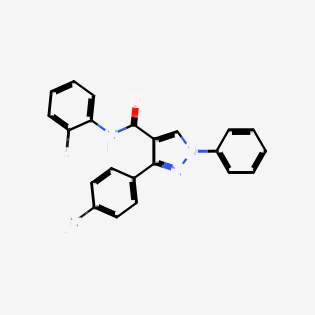 CC(=O)c1ccccc1NC(=O)c1cn(-c2ccccc2)nc1-c1ccc([N+](=O)[O-])cc1